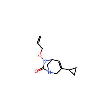 C=CCON1C(=O)N2CC(C3CC3)=CC1C2